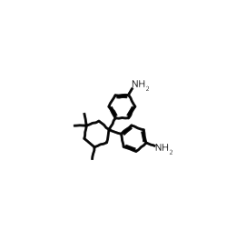 CC1CC(C)(C)CC(c2ccc(N)cc2)(c2ccc(N)cc2)C1